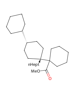 CCCCCCC[C@]1(C2(C(=O)OC)CCCCC2)CC[C@@H](C2CCCCC2)CC1